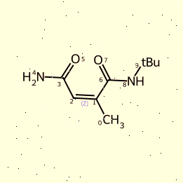 C/C(=C/C(N)=O)C(=O)NC(C)(C)C